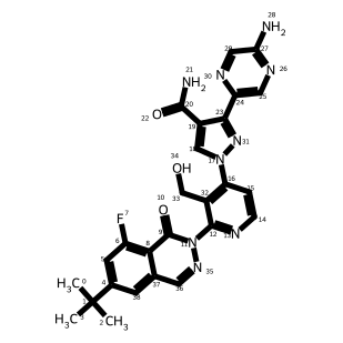 CC(C)(C)c1cc(F)c2c(=O)n(-c3nccc(-n4cc(C(N)=O)c(-c5cnc(N)cn5)n4)c3CO)ncc2c1